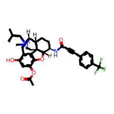 CC(=O)Oc1cc(O)c2c3c1O[C@H]1[C@H](NC(=O)C#Cc4ccc(C(F)(F)F)cc4)CC[C@H]4[C@@H](C2)[N+](C)(CC(C)C)CC[C@@]341